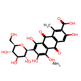 Cc1c(C(=O)O)c(O)cc2c1C(=O)c1c(O)c([C@@H]3O[C@H](CO)[C@@H](O)[C@H](O)[C@H]3O)c(O)c(O)c1C2=O.[AlH3]